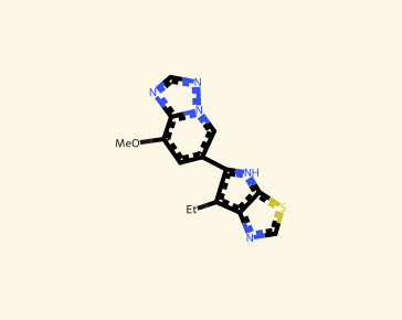 CCc1c(-c2cc(OC)c3ncnn3c2)[nH]c2scnc12